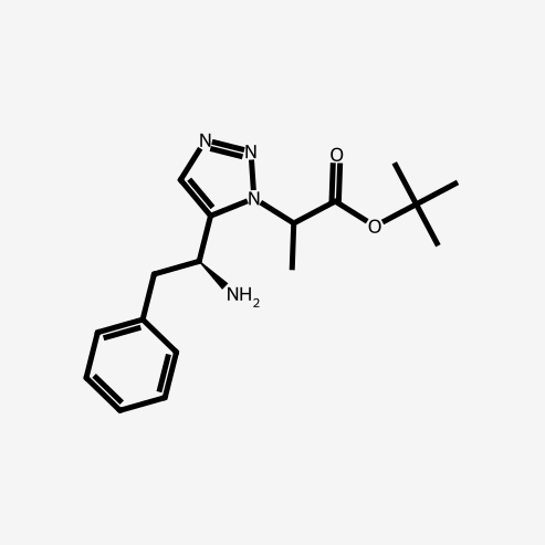 CC(C(=O)OC(C)(C)C)n1nncc1[C@@H](N)Cc1ccccc1